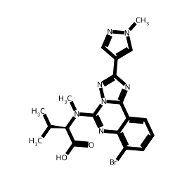 CC(C)[C@H](C(=O)O)N(C)c1nc2c(Br)cccc2c2nc(-c3cnn(C)c3)nn12